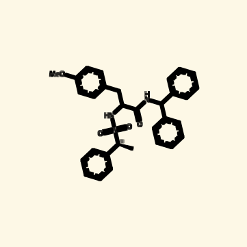 COc1ccc(CC(NS(=O)(=O)[C@@H](C)c2ccccc2)C(=O)NC(c2ccccc2)c2ccccc2)cc1